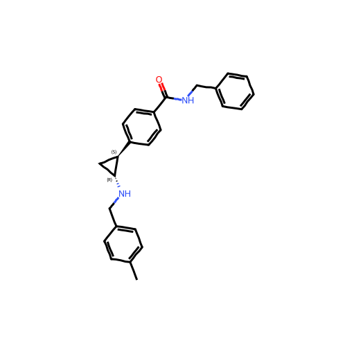 Cc1ccc(CN[C@@H]2C[C@H]2c2ccc(C(=O)NCc3ccccc3)cc2)cc1